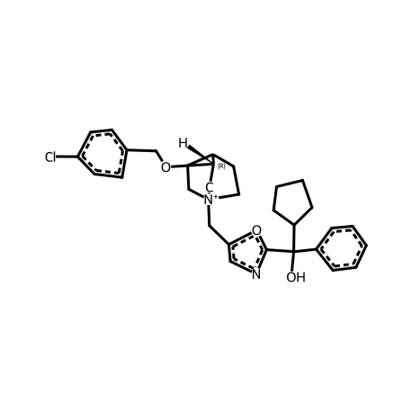 OC(c1ccccc1)(c1ncc(C[N+]23CCC(CC2)[C@@H](OCc2ccc(Cl)cc2)C3)o1)C1CCCC1